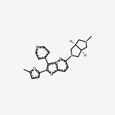 Cc1ccc(-c2nc3ccc(N4C[C@H]5CN(C)C[C@H]5C4)nn3c2-c2ccncc2)o1